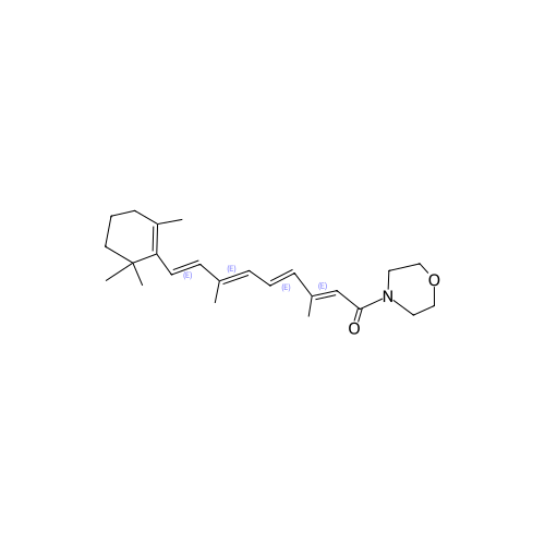 CC1=C(/C=C/C(C)=C/C=C/C(C)=C/C(=O)N2CCOCC2)C(C)(C)CCC1